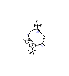 CO[C@H]1/C=C/CC/C(C(F)(F)F)=C/COC/C(C)=C\[C@@H](C)[C@@H]1O[Si](C)(C)C(C)(C)C